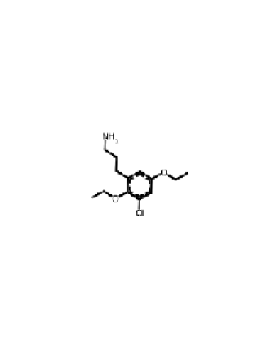 CCOc1cc(Cl)c(OCC)c(CCCN)c1